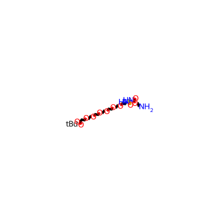 CC(C)(C)OC(=O)CCOCCOCCOCCOCCOCCOCCN[S+]([O-])NC(=O)OCCN